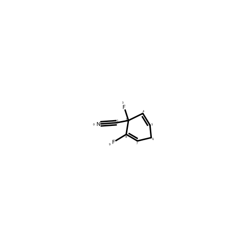 N#CC1(F)C=CCC=C1F